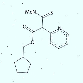 CNC(=S)C(C(=O)OCC1CCCC1)c1ccccn1